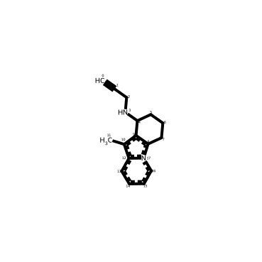 C#CCNC1CCCc2c1c(C)c1ccccn21